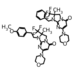 COc1ccc(CCN2c3nc(N4CCOCC4)cc(=O)n3CC2(C)C(F)(F)F)cc1.C[C@@]1(C(F)(F)F)Cn2c(nc(N3CCOCC3)cc2=O)N1Cc1ccccc1